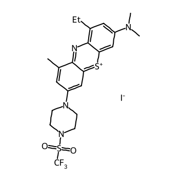 CCc1cc(N(C)C)cc2[s+]c3cc(N4CCN(S(=O)(=O)C(F)(F)F)CC4)cc(C)c3nc12.[I-]